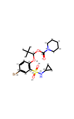 CC(C)(C)C(OC(=O)N1CCCCC1)Oc1ccc(Br)cc1S(=O)(=O)NC1CC1